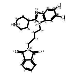 O=C1c2ccccc2C(=O)N1CCCCn1c(C2CCNCC2)nc2cc(Cl)c(Cl)cc21